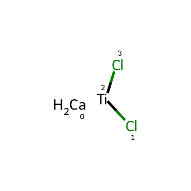 [CaH2].[Cl][Ti][Cl]